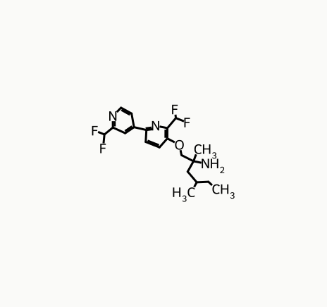 CCC(C)CC(C)(N)COc1ccc(-c2ccnc(C(F)F)c2)nc1C(F)F